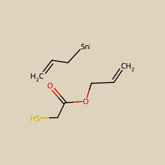 C=CCOC(=O)CS.C=C[CH2][Sn]